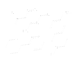 COc1cc2c(cc1Nc1nnc(C(N)=O)c(Nc3ccccc3C3CCCCO3)n1)CN(C(C)C)CC2